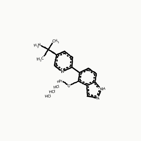 CCCOc1c(-c2ccc(C(C)(C)N)cn2)ccc2[nH]ncc12.Cl.Cl.Cl